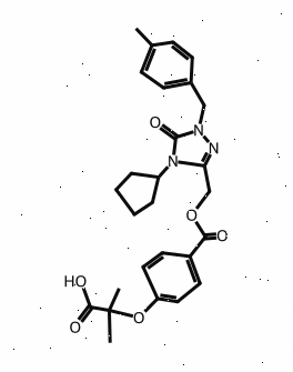 Cc1ccc(Cn2nc(COC(=O)c3ccc(OC(C)(C)C(=O)O)cc3)n(C3CCCC3)c2=O)cc1